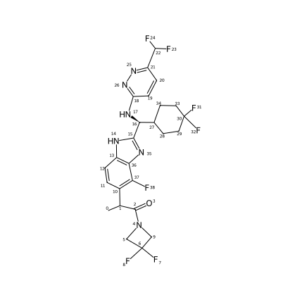 CC(C(=O)N1CC(F)(F)C1)c1ccc2[nH]c([C@@H](Nc3ccc(C(F)F)nn3)C3CCC(F)(F)CC3)nc2c1F